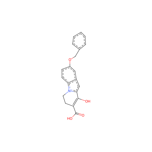 O=C(O)C1=C(O)c2cc3cc(OCc4ccccc4)ccc3n2CC1